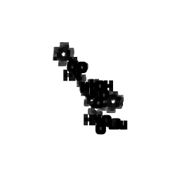 CC(C)(C)OC(=O)NCCCCC(CN(CCO)CCNC(=O)OCc1ccccc1)NC(=O)OCc1ccccc1